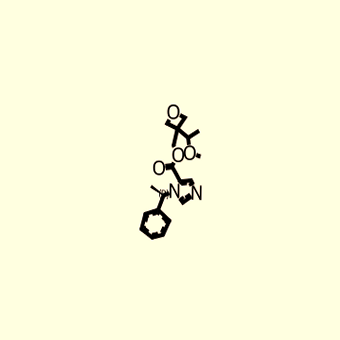 COC(C)C1(COC(=O)c2cncn2[C@H](C)c2ccccc2)COC1